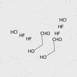 Cl.Cl.F.F.F.F.O=CCO.O=CCO